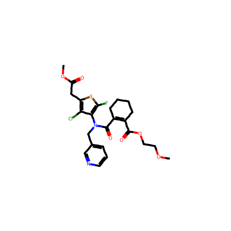 COCCOC(=O)C1=C(C(=O)N(Cc2cccnc2)c2c(F)sc(CC(=O)OC)c2Cl)CCCC1